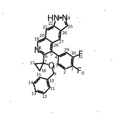 Fc1ccc(-c2c(C3(OCc4ccccc4)CC3)ncc3cc4[nH]ncc4cc23)cc1F